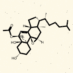 CC(=O)O[C@H]1C=C2[C@@H]3CC[C@H]([C@H](C)CCCC(C)C)[C@@]3(C)C[C@H]3O[C@@]23[C@@]2(CO)CC[C@H](O)C[C@]12O